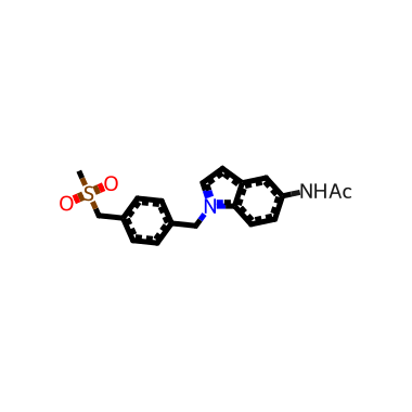 CC(=O)Nc1ccc2c(ccn2Cc2ccc(CS(C)(=O)=O)cc2)c1